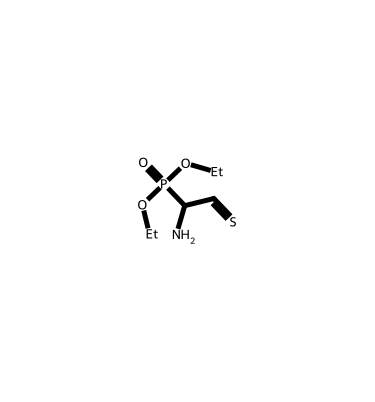 CCOP(=O)(OCC)C(N)C=S